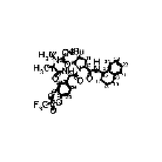 CC(C(=O)N[C@H](C(=O)N1CCCC1C(=O)NC1CCCc2ccccc21)c1ccc(OS(=O)(=O)C(F)(F)F)cc1)N(C)C(=O)OC(C)(C)C